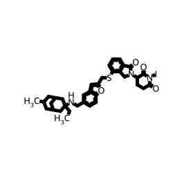 CCC1(NCc2ccc3oc(CSc4cccc5c4CN(C4CCC(=O)N(I)C4=O)C5=O)cc3c2)CC2CC(C)CC(C2)C1